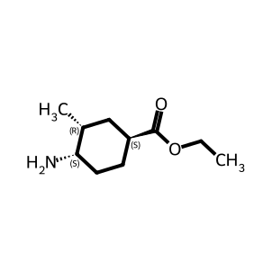 CCOC(=O)[C@H]1CC[C@H](N)[C@H](C)C1